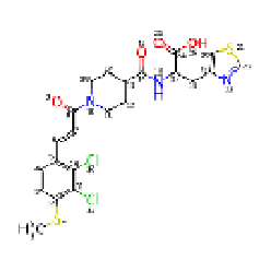 CSc1ccc(C=CC(=O)N2CCC(C(=O)NC(Cc3cscn3)C(=O)O)CC2)c(Cl)c1Cl